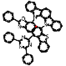 c1ccc(-c2nc(-c3ccccc3)nc(-c3ccc(-n4c5ccccc5c5ccc6c7ccccc7n(-c7cccc8nc(-c9ccccc9)oc78)c6c54)c4sc5ccccc5c34)n2)cc1